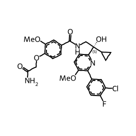 COc1cc(C(=O)NC[C@](O)(c2ccc(OC)c(-c3ccc(F)c(Cl)c3)n2)C2CC2)ccc1OCC(N)=O